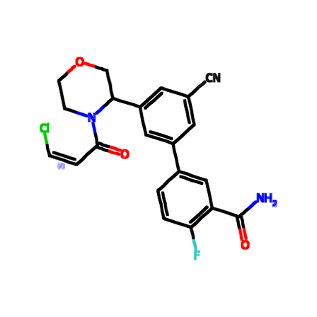 N#Cc1cc(-c2ccc(F)c(C(N)=O)c2)cc(C2COCCN2C(=O)/C=C\Cl)c1